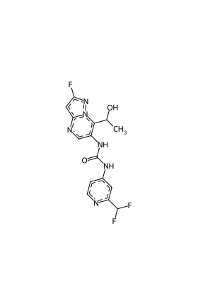 CC(O)c1c(NC(=O)Nc2ccnc(C(F)F)c2)cnc2cc(F)nn12